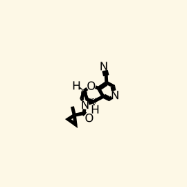 CC1(C(=O)N2C[C@@H]3C[C@H]2c2cncc(C#N)c2O3)CC1